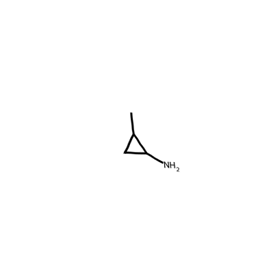 CC1CC1N